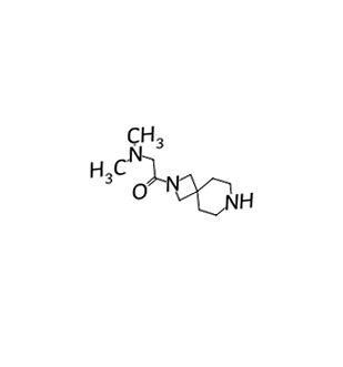 CN(C)CC(=O)N1CC2(CCNCC2)C1